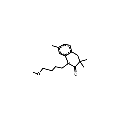 COCCCCN1C(=O)C(C)(C)Cc2ccc(C)cc21